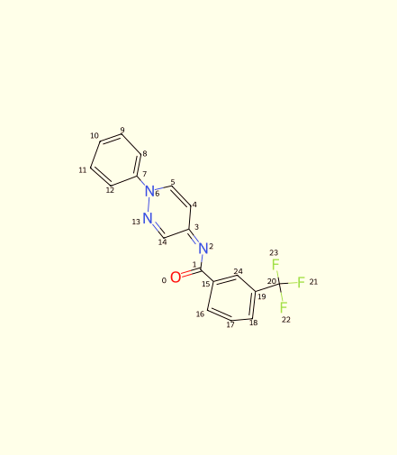 O=C(N=c1ccn(-c2ccccc2)nc1)c1cccc(C(F)(F)F)c1